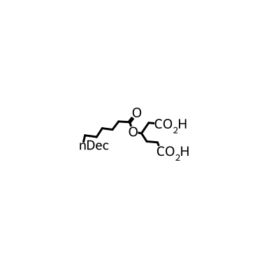 CCCCCCCCCCCCCCCC(=O)OC(CCC(=O)O)CC(=O)O